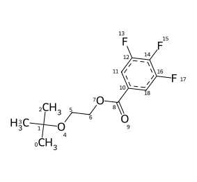 CC(C)(C)OCCOC(=O)c1cc(F)c(F)c(F)c1